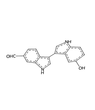 O=Cc1ccc2c(-c3c[nH]c4ccc(O)cc34)c[nH]c2c1